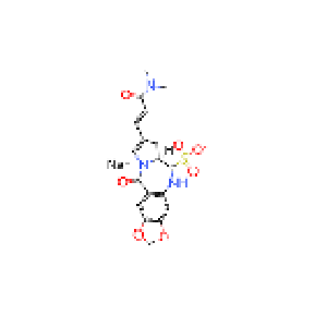 CN(C)C(=O)/C=C/C1=CN2C(=O)c3cc4c(cc3NC(S(=O)(=O)[O-])[C@@H]2C1)OCO4.[Na+]